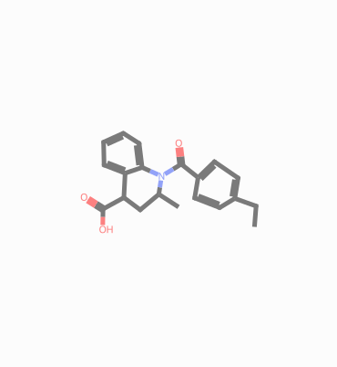 CCc1ccc(C(=O)N2c3ccccc3C(C(=O)O)CC2C)cc1